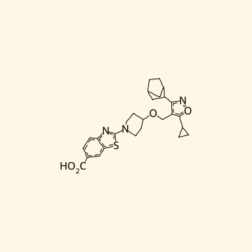 O=C(O)c1ccc2nc(N3CCC(OCc4c(C5CC6CCC5C6)noc4C4CC4)CC3)sc2c1